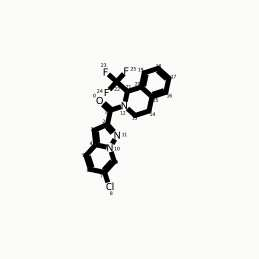 O=C(c1cc2ccc(Cl)cn2n1)N1CCc2ccccc2C1C(F)(F)F